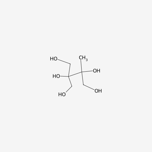 CC(O)(CO)C(O)(CO)CO